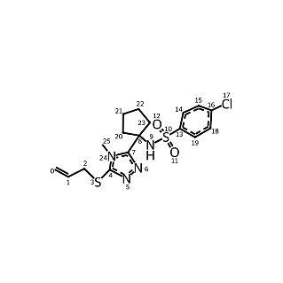 C=CCSc1nnc(C2(NS(=O)(=O)c3ccc(Cl)cc3)CCCC2)n1C